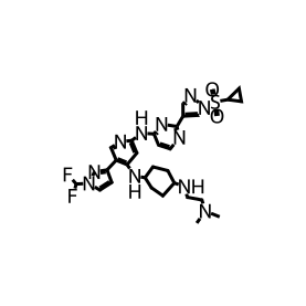 CN(C)CCNC1CCC(Nc2cc(Nc3ccnc(-c4cnn(S(=O)(=O)C5CC5)c4)n3)ncc2-c2ccn(C(F)F)n2)CC1